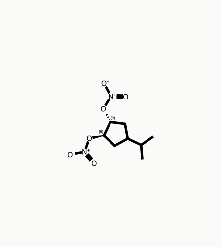 CC(C)C1C[C@@H](O[N+](=O)[O-])[C@H](O[N+](=O)[O-])C1